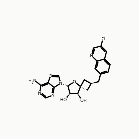 Nc1ncnc2c1ncn2[C@@H]1O[C@]2(C[C@H](Cc3ccc4cc(Cl)cnc4c3)C2)[C@@H](O)[C@H]1O